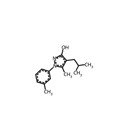 Cc1cccc(-n2nc(O)c(CC(C)C)c2C)c1